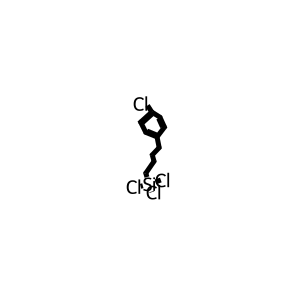 Clc1ccc(CCCC[Si](Cl)(Cl)Cl)cc1